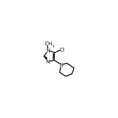 Cn1cnc(N2CCCCC2)c1Cl